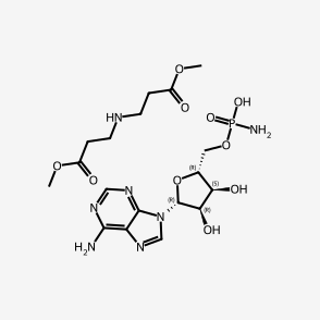 COC(=O)CCNCCC(=O)OC.Nc1ncnc2c1ncn2[C@@H]1O[C@H](COP(N)(=O)O)[C@@H](O)[C@H]1O